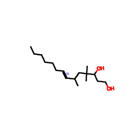 CCCCCC/C=C/C(C)CC(C)(C)C(O)CCO